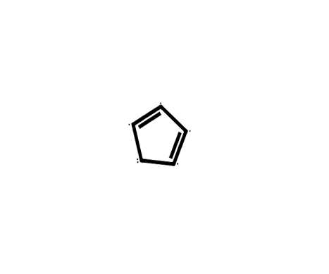 [C]1[C]=[C][C]=[C]1